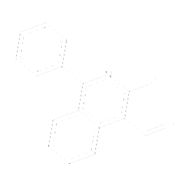 O=Cc1c(Cl)nc(-c2ccccc2)c2ccccc12